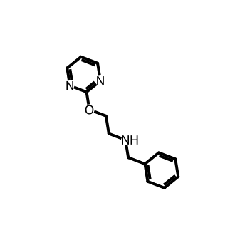 c1ccc(CNCCOc2ncccn2)cc1